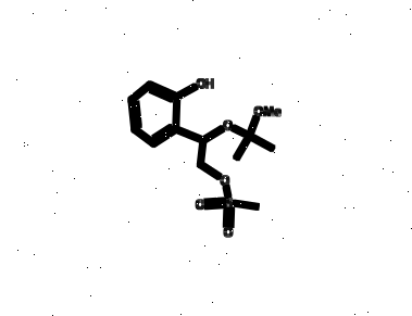 COC(C)(C)OC(COS(C)(=O)=O)c1ccccc1O